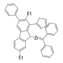 CCc1ccc2c(c1)[CH]([Zr]=[C](c1ccccc1)c1ccccc1)c1c-2cc(-c2ccccc2)c(CC)c1C1=CC=CC1